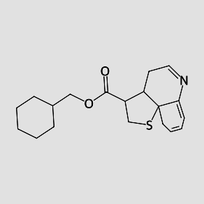 O=C(OCC1CCCCC1)C1CSC23CC=CC=C2N=CCC13